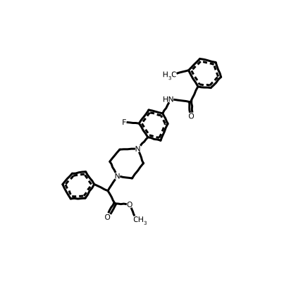 COC(=O)C(c1ccccc1)N1CCN(c2ccc(NC(=O)c3ccccc3C)cc2F)CC1